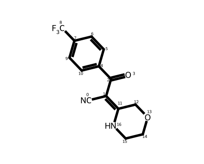 N#C/C(C(=O)c1ccc(C(F)(F)F)cc1)=C1/COCCN1